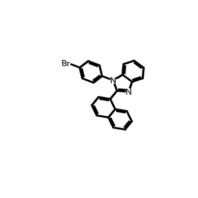 Brc1ccc(-n2c(-c3cccc4ccccc34)nc3ccccc32)cc1